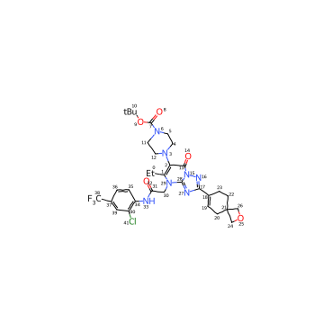 CCc1c(N2CCN(C(=O)OC(C)(C)C)CC2)c(=O)n2nc(C3=CCC4(CC3)COC4)nc2n1CC(=O)Nc1ccc(C(F)(F)F)cc1Cl